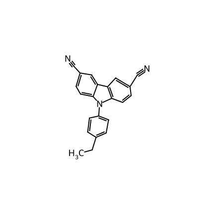 CCc1ccc(-n2c3ccc(C#N)cc3c3cc(C#N)ccc32)cc1